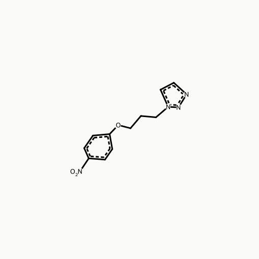 O=[N+]([O-])c1ccc(OCCCn2ccnn2)cc1